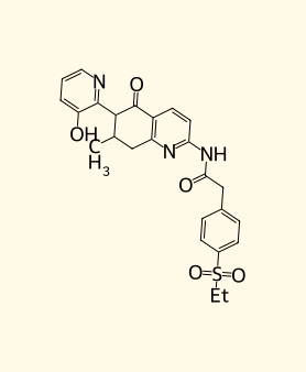 CCS(=O)(=O)c1ccc(CC(=O)Nc2ccc3c(n2)CC(C)C(c2ncccc2O)C3=O)cc1